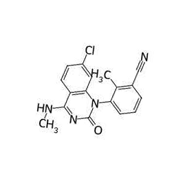 CNc1nc(=O)n(-c2cccc(C#N)c2C)c2cc(Cl)ccc12